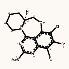 CSc1nc2c3c(c(Cl)c(Br)c(F)c3n1)OC[C@@H]1CCCCN21